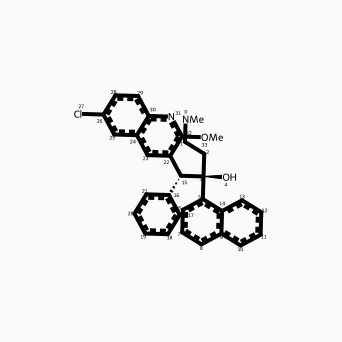 CNCC[C@](O)(c1cccc2ccccc12)[C@H](c1ccccc1)c1cc2cc(Cl)ccc2nc1OC